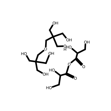 O=C(OC(=O)C(O)CO)C(O)CO.OCC(CO)(CO)COCC(CO)(CO)CO